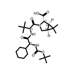 CC(C)(C)OC(=O)N[C@H](C(=O)N[C@H](C(=O)N1C[C@H]2[C@@H]([C@H]1C(=O)O)C2(C)C)C(C)(C)C)C1CCCCC1